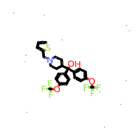 OC(c1ccc(OC(F)(F)F)cc1)(c1ccc(OC(F)(F)F)cc1)C1CCN(Cc2cccs2)CC1